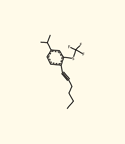 CCCCC#Cc1ccc(C(C)C)cc1SC(F)(F)F